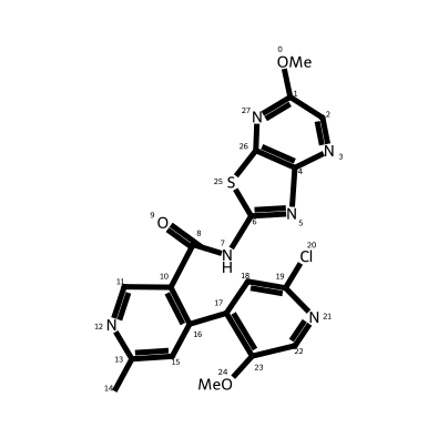 COc1cnc2nc(NC(=O)c3cnc(C)cc3-c3cc(Cl)ncc3OC)sc2n1